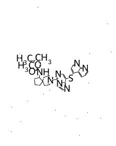 CC(C)(C)OC(=O)N[C@@H]1CCCC12CCN(c1ncc(Sc3ccnc4ncccc34)c3nccn13)CC2